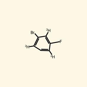 [2H]c1cc([2H])c(Br)c([2H])c1F